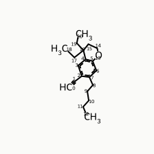 C#Cc1cc2c(cc1CCCCC)OCCC2(CC)CC